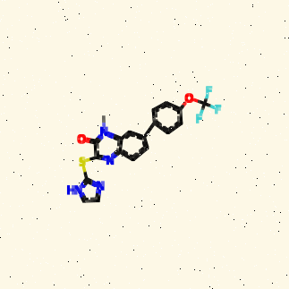 Cn1c(=O)c(Sc2ncc[nH]2)nc2ccc(-c3ccc(OC(F)(F)F)cc3)cc21